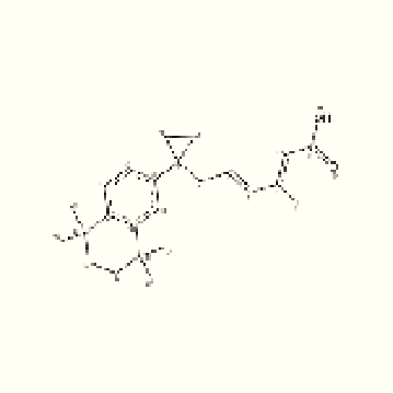 CC(C=CCC1(c2ccc3c(c2)C(C)(C)CCC3(C)C)CC1)=CC(=O)O